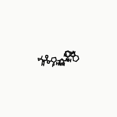 CC1(NC(=O)O[C@H]2CC[C@@H](c3cc(Nc4nccn5nc6c(c45)CCCC6)n[nH]3)[C@H]2F)CC1